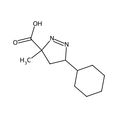 CC1(C(=O)O)CC(C2CCCCC2)N=N1